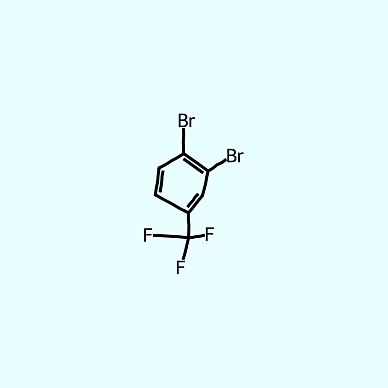 FC(F)(F)c1ccc(Br)c(Br)c1